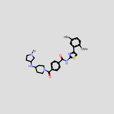 CCCCc1ccc(OC)c(-c2csc(NC(=O)c3ccc(C(=O)N4CCC(NC5CCN(C(C)=O)C5)CC4)cc3)n2)c1